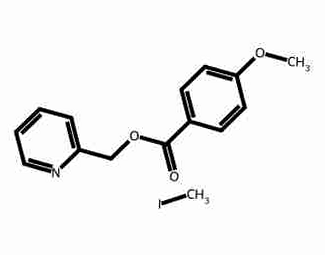 CI.COc1ccc(C(=O)OCc2ccccn2)cc1